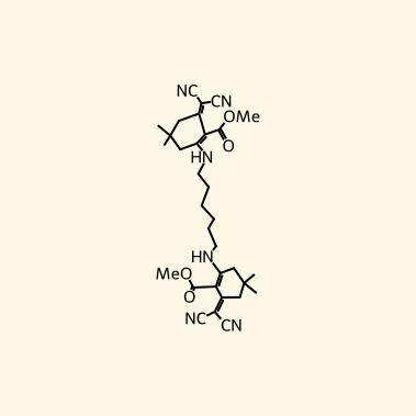 COC(=O)C1=C(NCCCCCCNC2=C(C(=O)OC)C(=C(C#N)C#N)CC(C)(C)C2)CC(C)(C)CC1=C(C#N)C#N